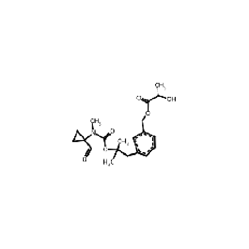 C[C@H](O)C(=O)OCc1cccc(CC(C)(C)OC(=O)N(C)C2(C=O)CC2)c1